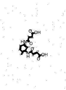 Cc1ccc(NC(=O)C=CC(=O)O)cc1NC(=O)C=CC(=O)O